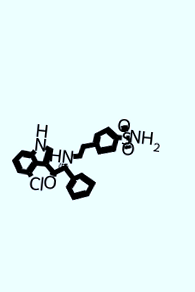 NS(=O)(=O)c1ccc(CCN[C@@H](C(=O)c2c[nH]c3cccc(Cl)c23)c2ccccc2)cc1